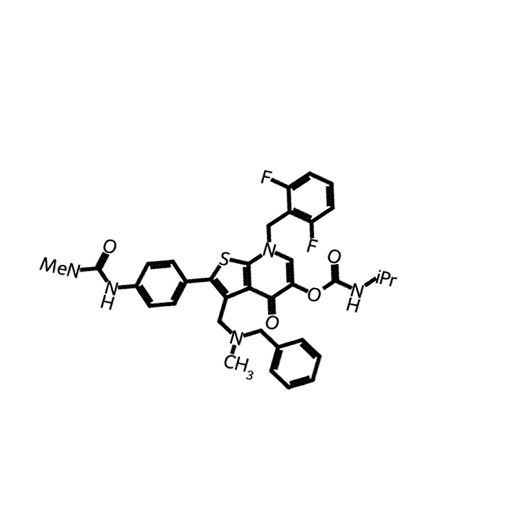 CNC(=O)Nc1ccc(-c2sc3c(c2CN(C)Cc2ccccc2)c(=O)c(OC(=O)NC(C)C)cn3Cc2c(F)cccc2F)cc1